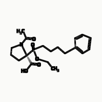 CCOP(=O)(CCCCc1ccccc1)[C@@]1(C(=O)O)CCCN1C(C)=O